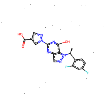 C[C@@H](c1ccc(F)cc1F)n1ncc2nc(-n3cc(C(=O)O)cn3)nc(O)c21